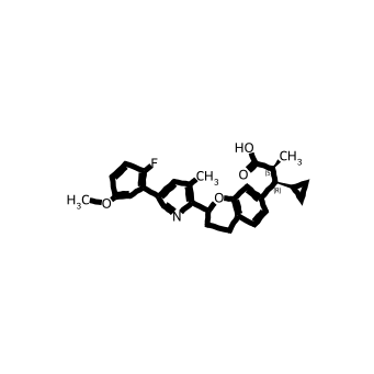 COc1ccc(F)c(-c2cnc(C3CCc4ccc([C@H](C5CC5)[C@H](C)C(=O)O)cc4O3)c(C)c2)c1